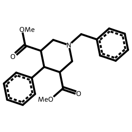 COC(=O)C1CN(Cc2ccccc2)CC(C(=O)OC)C1c1ccccc1